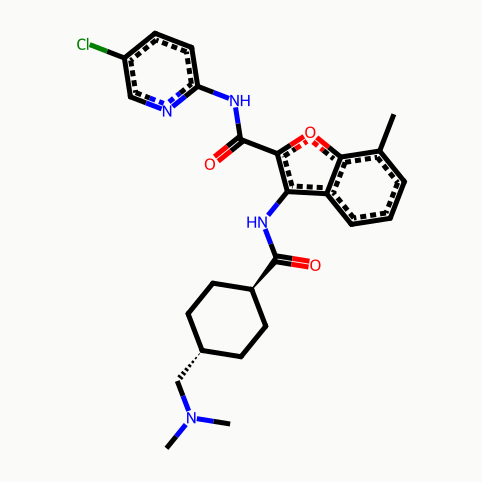 Cc1cccc2c(NC(=O)[C@H]3CC[C@H](CN(C)C)CC3)c(C(=O)Nc3ccc(Cl)cn3)oc12